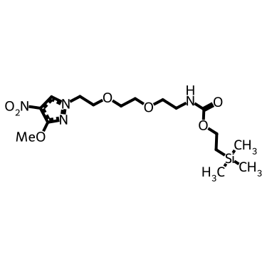 COc1nn(CCOCCOCCNC(=O)OCC[Si](C)(C)C)cc1[N+](=O)[O-]